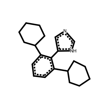 c1cc(C2CCCCC2)c(-c2cnc[nH]2)c(C2CCCCC2)c1